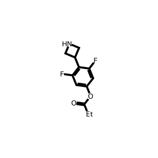 CCC(=O)Oc1cc(F)c(C2CNC2)c(F)c1